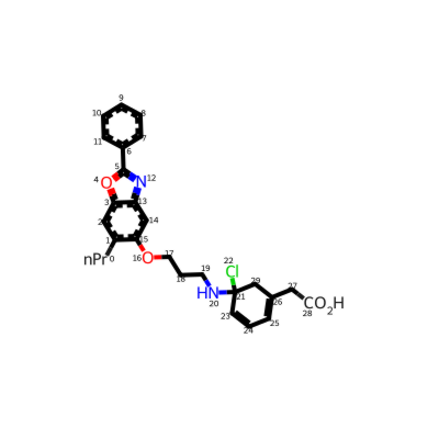 CCCc1cc2oc(-c3ccccc3)nc2cc1OCCCNC1(Cl)C=CC=C(CC(=O)O)C1